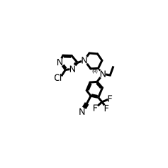 CCN(c1ccc(C#N)c(C(F)(F)F)c1)[C@@H]1CCCN(c2ccnc(Cl)n2)C1